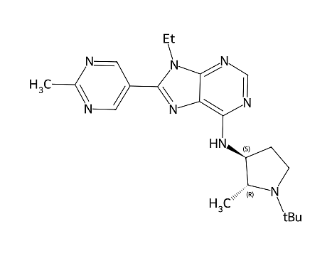 CCn1c(-c2cnc(C)nc2)nc2c(N[C@H]3CCN(C(C)(C)C)[C@@H]3C)ncnc21